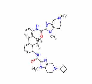 CCCN1CCc2c(nc(C(=O)Nc3cccc(-c4cccc(NC(=O)c5nc6c(n5C)CCN(C5CCC5)C6)c4C)c3C)n2C)C1